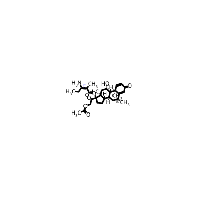 CC/C(N)=C(/C)C(=O)O[C@]1(C(=O)COC(C)=O)CC[C@H]2[C@@H]3C[C@H](C)C4=CC(=O)C=C[C@]4(C)[C@H]3[C@@H](O)C[C@@]21C